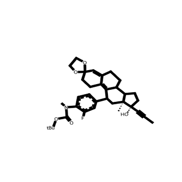 CC#C[C@]1(O)CCC2C3CCC4=CC5(CCC4=C3C(c3ccc(N(C)C(=O)OC(C)(C)C)c(F)c3)C[C@@]21C)OCCO5